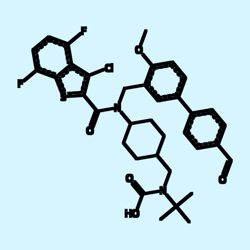 COc1ccc(-c2ccc(C=O)cc2)cc1CN(C(=O)c1sc2c(F)ccc(F)c2c1Cl)C1CCC(CN(C(=O)O)C(C)(C)C)CC1